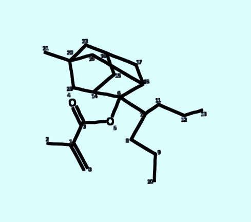 C=C(C)C(=O)OC1(C(CCC)CCC)C2CC3CC1CC(C)(C3)C2